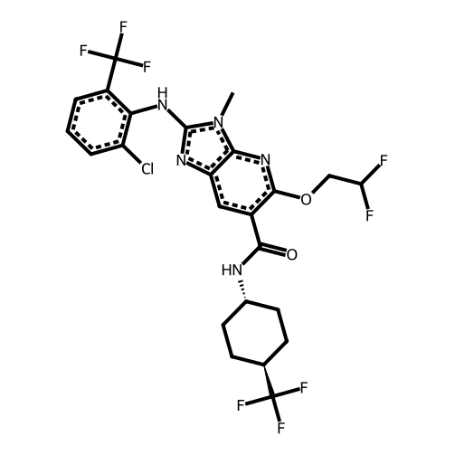 Cn1c(Nc2c(Cl)cccc2C(F)(F)F)nc2cc(C(=O)N[C@H]3CC[C@H](C(F)(F)F)CC3)c(OCC(F)F)nc21